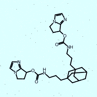 O=C(NCCCC12CC3CC(C1)CC(CCCNC(=O)OC1CCn4ccnc41)(C3)C2)OC1CCn2ccnc21